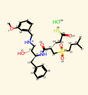 COc1cccc(CNC[C@@H](O)[C@H](Cc2ccccc2)NC(=O)[C@H](CCC(=O)S)CS(=O)(=O)CCC(C)C)c1.Cl